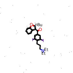 CCCCc1oc2ccccc2c1C(=O)c1cc(I)c(CCCN(CC)CC)c(I)c1